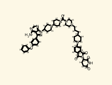 Nc1ncnc2c1c(-c1ccc(Oc3ccccc3)cc1)nn2C1CCN(C2CCN(C(=O)N3CCN(CCCC4CCN(c5ccc6c(c5)C(=O)N(C5CCC(=O)NC5=O)C6=O)CC4)CC3)CC2)CC1